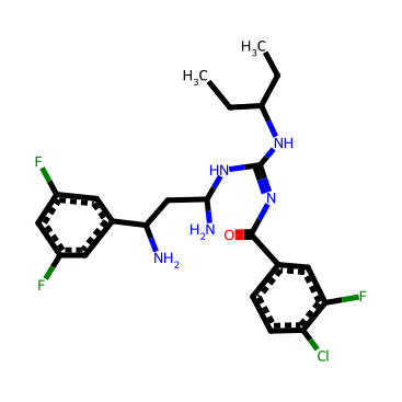 CCC(CC)N/C(=N/C(=O)c1ccc(Cl)c(F)c1)NC(N)CC(N)c1cc(F)cc(F)c1